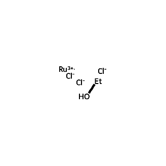 CCO.[Cl-].[Cl-].[Cl-].[Ru+3]